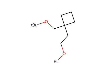 CCOCCC1(COC(C)(C)C)CCC1